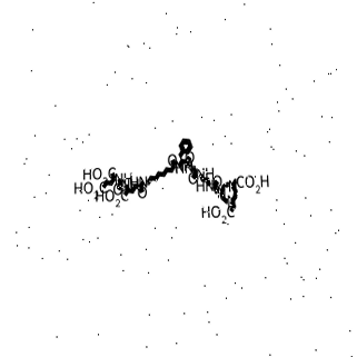 O=C(O)CCC(NC(=O)NC(CCC(=O)NCCCCCCCC(=O)N[C@@H](Cc1ccccc1)C(=O)NCC(=O)NCCNC(=O)CN1CCN(CC(=O)O)CCN(CC(=O)O)CC1)C(=O)O)C(=O)O